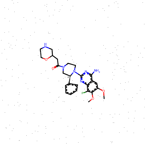 COc1cc2c(N)nc(N3CCN(C(=O)CC4CNCCO4)C[C@@H]3c3ccccc3)nc2c(F)c1OC